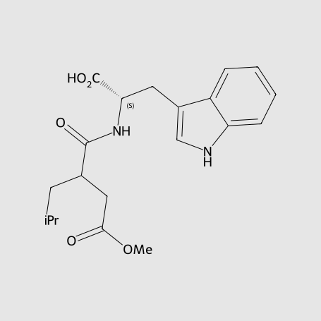 COC(=O)CC(CC(C)C)C(=O)N[C@@H](Cc1c[nH]c2ccccc12)C(=O)O